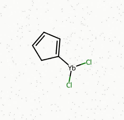 [Cl][Yb]([Cl])[C]1=CC=CC1